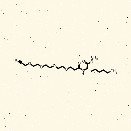 C#CCOCCOCCOCCOCCC(=O)N[C@@H](CCCCCC)C(=O)OC